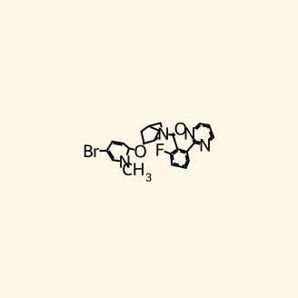 CN1C=C(Br)C=CC1OC1CC2CC1N(C(=O)c1c(F)cccc1-c1ncccn1)C2